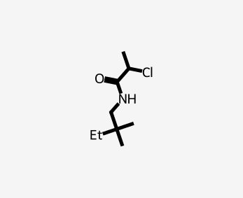 CCC(C)(C)CNC(=O)C(C)Cl